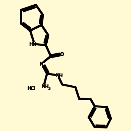 Cl.NC(=NC(=O)c1cc2ccccc2[nH]1)NCCCCc1ccccc1